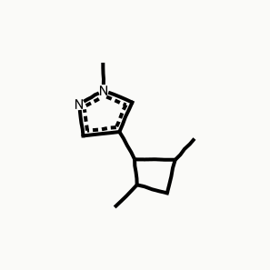 CC1CC(C)C1c1cnn(C)c1